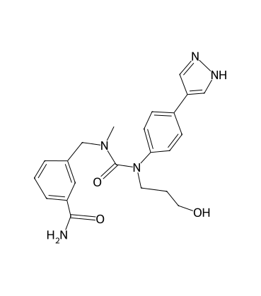 CN(Cc1cccc(C(N)=O)c1)C(=O)N(CCCO)c1ccc(-c2cn[nH]c2)cc1